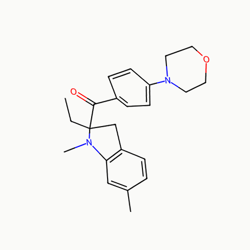 CCC1(C(=O)c2ccc(N3CCOCC3)cc2)Cc2ccc(C)cc2N1C